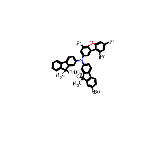 CC(C)c1cc(C(C)C)c2c(c1)oc1c(C(C)C)cc(N(c3ccc4c(c3)C(C)(C)c3ccccc3-4)c3ccc4c(c3)C(C)(C)c3cc(C(C)(C)C)ccc3-4)cc12